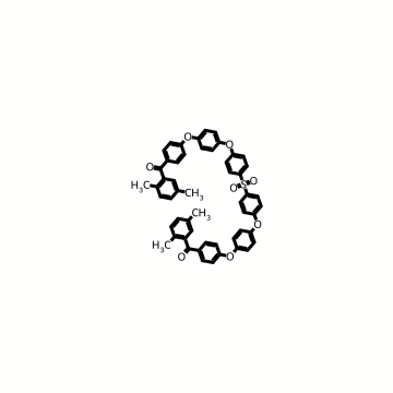 Cc1ccc(C)c(C(=O)c2ccc(Oc3ccc(Oc4ccc(S(=O)(=O)c5ccc(Oc6ccc(Oc7ccc(C(=O)c8cc(C)ccc8C)cc7)cc6)cc5)cc4)cc3)cc2)c1